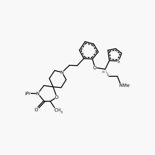 CNCC[C@H](Oc1ccccc1CCN1CCC2(CC1)CN(C(C)C)C(=O)C(C)O2)c1cccs1